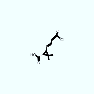 CC1(C)[C@H](/C=C/C=C(Cl)Cl)[C@H]1C(=O)O